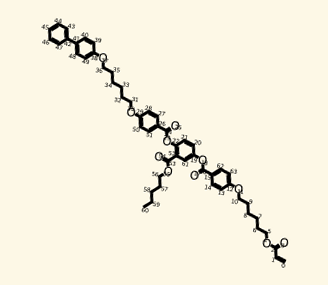 C=CC(=O)OCCCCCCOc1ccc(C(=O)Oc2ccc(OC(=O)c3ccc(OCCCCCCOc4ccc(-c5ccccc5)cc4)cc3)c(C(=O)OCCCCC)c2)cc1